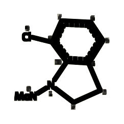 CNN1CCc2cccc(Cl)c21